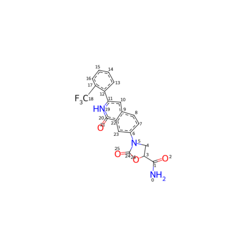 NC(=O)C1CN(c2ccc3cc(-c4ccccc4C(F)(F)F)[nH]c(=O)c3c2)C(=O)O1